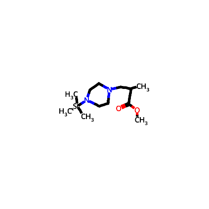 COC(=O)C(C)CN1CCN([Si](C)(C)C)CC1